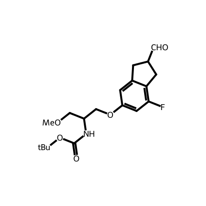 COCC(COc1cc(F)c2c(c1)CC(C=O)C2)NC(=O)OC(C)(C)C